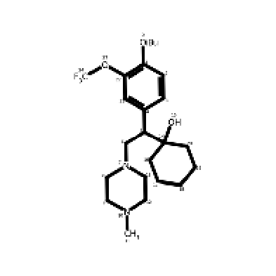 CC(C)COc1ccc(C(CN2CCN(C)CC2)C2(O)CCCCC2)cc1OC(F)(F)F